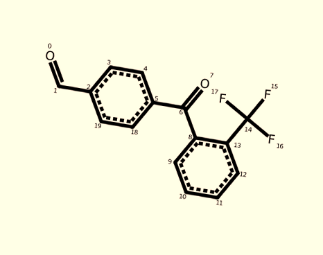 O=Cc1ccc(C(=O)c2ccccc2C(F)(F)F)cc1